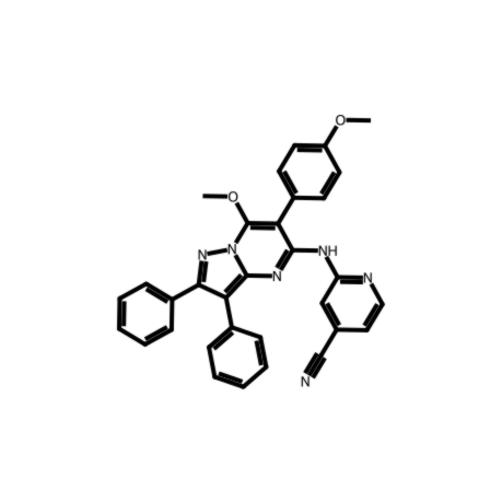 COc1ccc(-c2c(Nc3cc(C#N)ccn3)nc3c(-c4ccccc4)c(-c4ccccc4)nn3c2OC)cc1